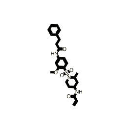 C=CC(=O)NC1CCN(S(=O)(=O)c2ccc(NC(=O)CCc3ccccc3)cc2OC)C(C)C1